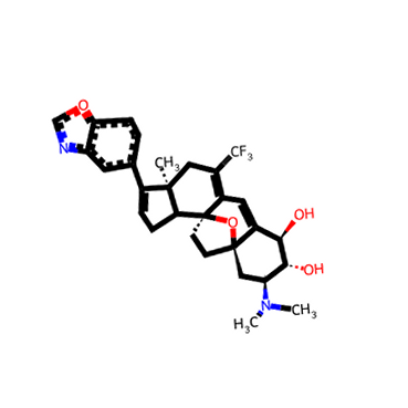 CN(C)[C@H]1C[C@@]23CC[C@@]4(O2)C(=C(C(F)(F)F)C[C@]2(C)C(c5ccc6ocnc6c5)=CCC24)C=C3[C@@H](O)[C@@H]1O